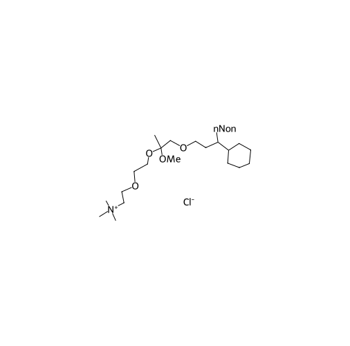 CCCCCCCCCC(CCOCC(C)(OC)OCCOCC[N+](C)(C)C)C1CCCCC1.[Cl-]